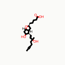 CC#CCCC(C)(O)/C=C/[C@H]1C(O)C[C@@H]2O[C@@H](CCCCC(=O)O)C[C@@H]21